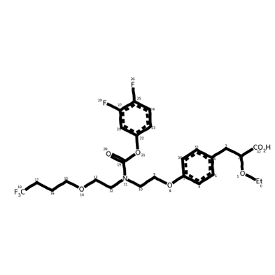 CCOC(Cc1ccc(OCCN(CCOCCCC(F)(F)F)C(=O)Oc2ccc(F)c(F)c2)cc1)C(=O)O